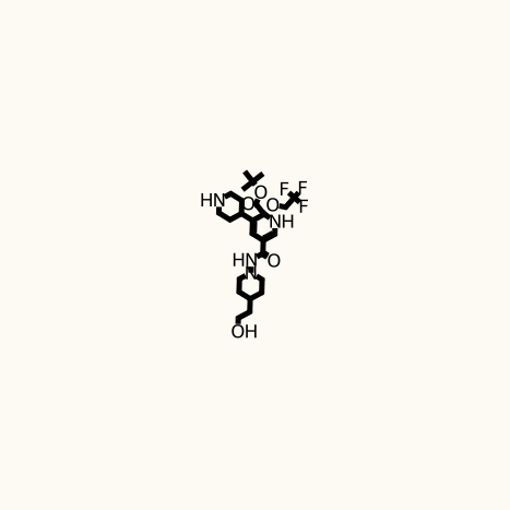 CC(C)(C)OC(=O)C1(OCC(F)(F)F)NC=C(C(=O)NN2CCC(CCO)CC2)C=C1C1CCNCC1